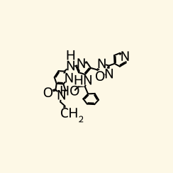 C=CCN1Cc2nc(Nc3cc(N[C@H](CO)c4ccccc4)c(-c4nc(-c5ccncc5)no4)cn3)ccc2C1=O